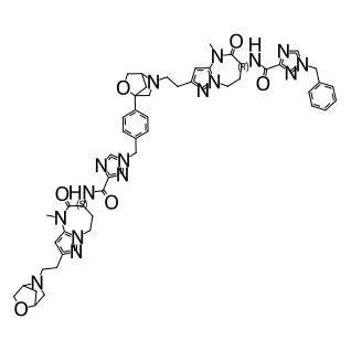 CN1C(=O)[C@@H](NC(=O)c2ncn(Cc3ccc(C45CC(CO4)N(CCc4cc6n(n4)CC[C@@H](NC(=O)c4ncn(Cc7ccccc7)n4)C(=O)N6C)C5)cc3)n2)CCn2nc(CCN3CC4CC3CO4)cc21